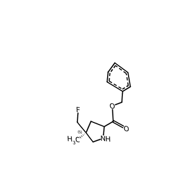 C[C@@]1(CF)CNC(C(=O)OCc2ccccc2)C1